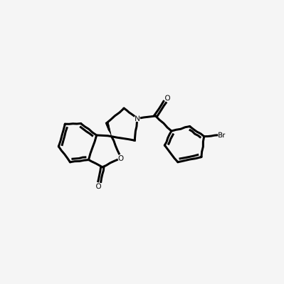 O=C1O[C@]2(CCN(C(=O)c3cccc(Br)c3)C2)c2ccccc21